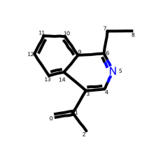 C=C(C)c1cnc(CC)c2ccccc12